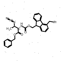 CC(C)Cc1cccc2c1-c1ccccc1C2COC(=O)N[C@H](C(=O)OCc1ccccc1)C(C)N=[N+]=[N-]